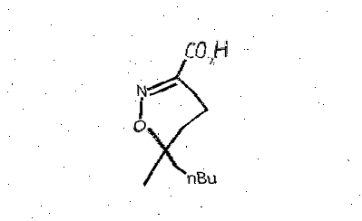 CCCCC1(C)CC(C(=O)O)=NO1